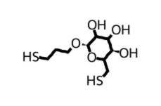 OC1C(O)[C@@H](O)C(CS)O[C@@H]1OCCCS